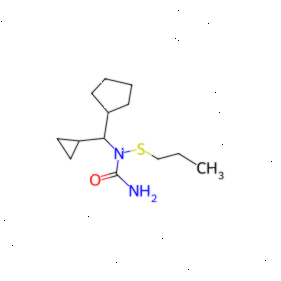 CCCSN(C(N)=O)C(C1CCCC1)C1CC1